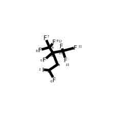 FC(I)CC(F)(C(F)(F)F)C(F)(F)F